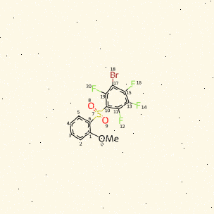 COc1ccccc1S(=O)(=O)c1c(F)c(F)c(F)c(Br)c1F